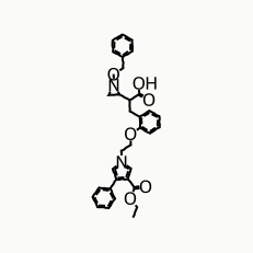 CCOC(=O)c1cn(CCOc2ccccc2CC(C(=O)O)C2CN2OCc2ccccc2)cc1-c1ccccc1